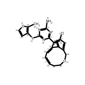 C=c1c2cc(Cl)c(-c3nc(N)nc(Sc4ccoc4C)n3)/c1=C/C=C\CCOC2